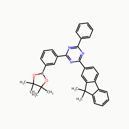 CC1(C)c2ccccc2-c2ccc(-c3nc(-c4ccccc4)nc(-c4cccc(B5OC(C)(C)C(C)(C)O5)c4)n3)cc21